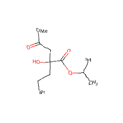 [3H]C(C)OC(=O)C(O)(CCC(C)C)CC(=O)OC